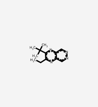 CCc1nc2cnncc2nc1C(C)(C)C